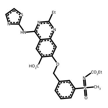 CCOC(=O)N=S(C)(=O)c1cccc(COc2cc3nc(CC)nc(Nc4nccs4)c3cc2C(=O)O)c1